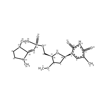 COC1C[C@H](n2cc(C)c(=O)[nH]c2=O)O[C@@H]1COP(=O)(S)N=C1N(C)CCN1C